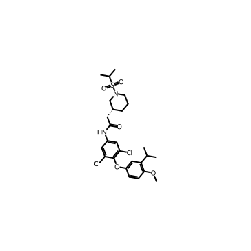 COc1ccc(Oc2c(Cl)cc(NC(=O)C[C@H]3CCCN(S(=O)(=O)C(C)C)C3)cc2Cl)cc1C(C)C